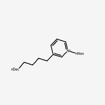 CCCCCCCCCCCCCCc1ccc[n+](CCCCCCCCC)c1